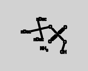 CCCCCCCCCCC(CCCCCCCCCC)(CCCCCCCCCC)OS(=O)(=O)OO.N